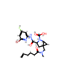 C=CCCCC(=O)N(C)CC12CC(C(=O)Nc3cc(F)cc(Br)n3)N(C(=O)O)C1C2